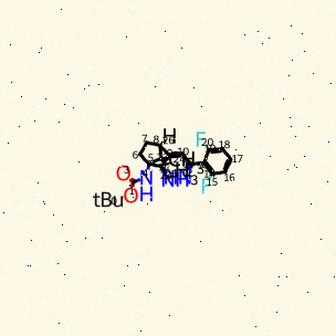 CC(C)(C)OC(=O)NC12CC[C@H](/C(=C/C(=N)c3c(F)cccc3F)C1=N)C2(C)C